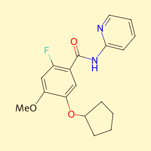 COc1cc(F)c(C(=O)Nc2ccccn2)cc1OC1CCCC1